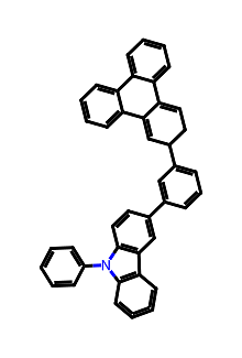 C1=C=Cc2c(c3cc(-c4cccc(C5C=c6c(c7ccccc7c7ccccc67)=CC5)c4)ccc3n2-c2ccccc2)C=1